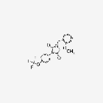 COc1cnccc1CN1CC(=O)N(c2ccc(OC(F)(F)F)cc2)C1=O